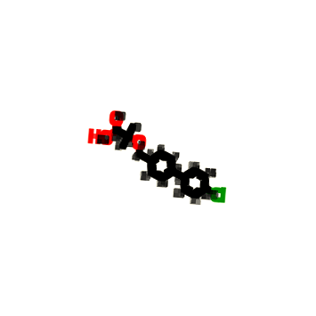 CC(C)(OCc1ccc(-c2ccc(Cl)cc2)cc1)C(=O)O